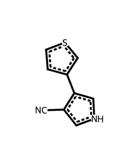 N#Cc1c[nH]cc1-c1ccsc1